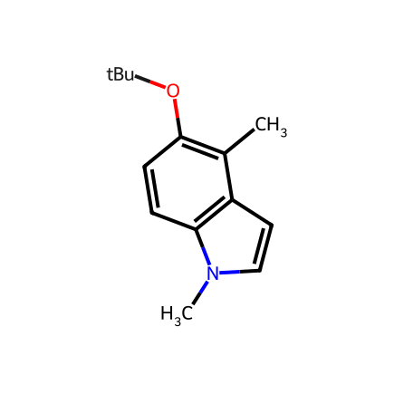 Cc1c(OC(C)(C)C)ccc2c1ccn2C